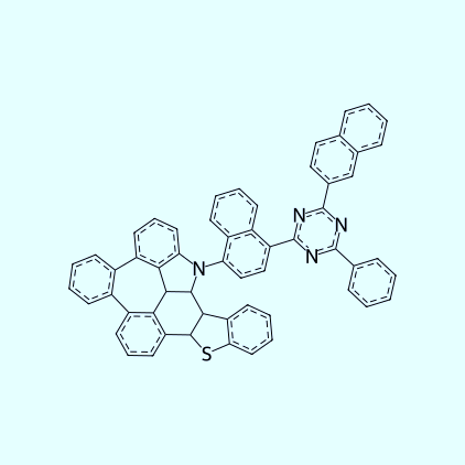 c1ccc(-c2nc(-c3ccc4ccccc4c3)nc(-c3ccc(N4c5cccc6c5C5c7c(cccc7C7Sc8ccccc8C7C54)-c4ccccc4-6)c4ccccc34)n2)cc1